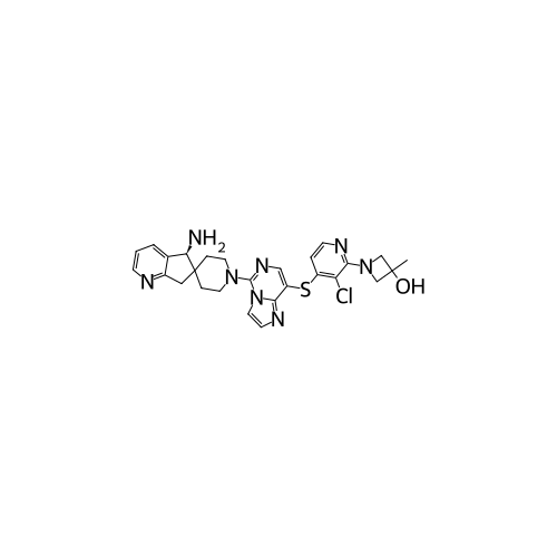 CC1(O)CN(c2nccc(Sc3cnc(N4CCC5(CC4)Cc4ncccc4[C@H]5N)n4ccnc34)c2Cl)C1